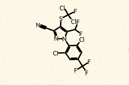 N#Cc1nn(-c2c(Cl)cc(C(F)(F)F)cc2Cl)c(C(F)F)c1SC(F)(Cl)Cl